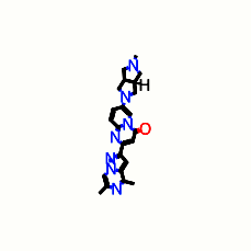 Cc1cn2nc(-c3cc(=O)n4cc(N5CC6CN(C)C[C@@H]6C5)ccc4n3)cc2c(C)n1